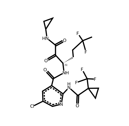 CC(F)(F)CC[C@H](NC(=O)c1cc(Cl)cnc1NC(=O)C1(C(F)(F)F)CC1)C(=O)C(=O)NC1CC1